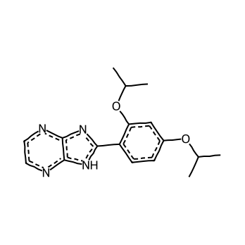 CC(C)Oc1ccc(-c2nc3nccnc3[nH]2)c(OC(C)C)c1